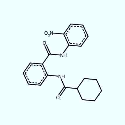 O=C(Nc1ccccc1[N+](=O)[O-])c1ccccc1NC(=O)C1CCCCC1